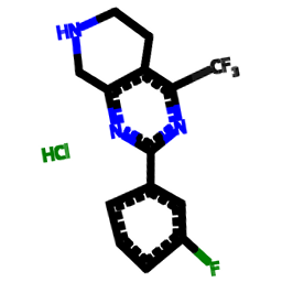 Cl.Fc1cccc(-c2nc3c(c(C(F)(F)F)n2)CCNC3)c1